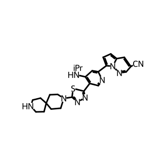 CC(C)Nc1cc(-c2ccc3cc(C#N)cnn23)ncc1-c1nnc(N2CCC3(CCNCC3)CC2)s1